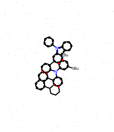 CC(C)(C)c1cc(N(c2ccccc2-c2ccc3c4ccccc4n(-c4ccccc4)c3c2)c2ccccc2-c2cccc3cccc(C4CCCCC4)c23)cc(C(C)(C)C)c1